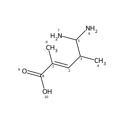 CC(=CC(C)C(N)N)C(=O)O